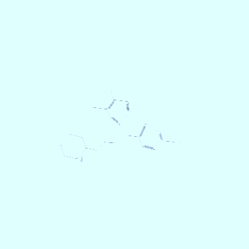 Cc1ccc(B(OCCC2CCCCN2)c2ccc(C)c(Cl)c2)cc1